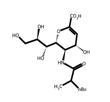 CCCCC(C)C(=O)N[C@H]1[C@H]([C@H](O)[C@H](O)CO)OC(C(=O)O)=C[C@@H]1O